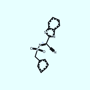 N#C/C(=N\S(=O)(=O)Cc1ccccc1)c1nc2ccccc2s1